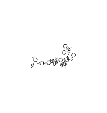 C[C@H](C[C@H](Sc1ccccc1)N(C)CCO[Si](c1ccccc1)(c1ccccc1)C(C)(C)C)Nc1ccc(S(=O)(=O)NC(=O)c2ccc(N3CCN(CC4=C(C56CC(C)(C5)C6)CC(C)(C)CC4)CC3)cc2)cc1S(=O)(=O)C(F)(F)F